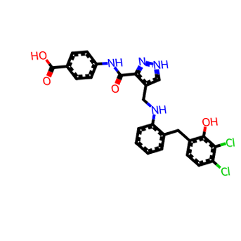 O=C(O)c1ccc(NC(=O)c2n[nH]cc2CNc2ccccc2Cc2ccc(Cl)c(Cl)c2O)cc1